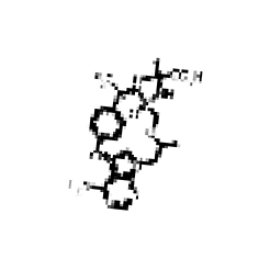 CC(Cn1cnc2c(N)ncnc21)OCP(=O)(N[C@@H](c1ccc(C#N)cc1)C(F)(F)F)NC(C)(C)C(=O)O